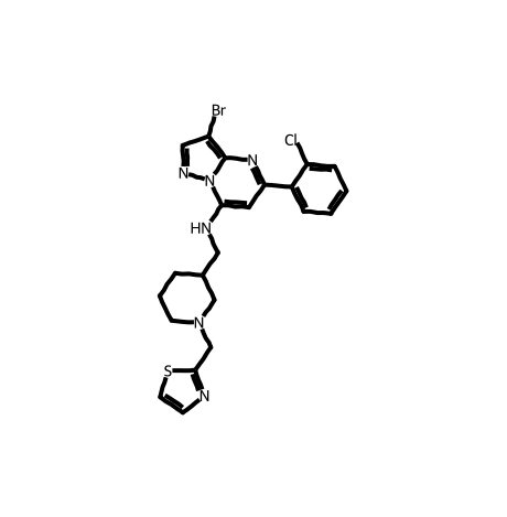 Clc1ccccc1-c1cc(NCC2CCCN(Cc3nccs3)C2)n2ncc(Br)c2n1